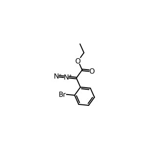 CCOC(=O)C(=[N+]=[N-])c1ccccc1Br